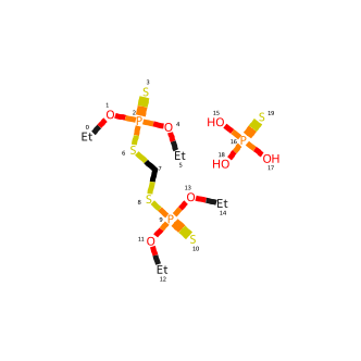 CCOP(=S)(OCC)SCSP(=S)(OCC)OCC.OP(O)(O)=S